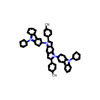 N#Cc1ccc(-c2cc3cc4c(cc(-c5ccc(C#N)cc5)n4-c4ccc5c(c4)c4ccccc4n5-c4ccccc4)cc3n2-c2ccc3c(c2)c2ccccc2n3-c2ccccc2)cc1